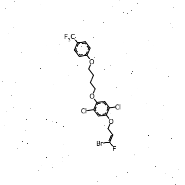 F/C(Br)=C/COc1cc(Cl)c(OCCCCOc2ccc(C(F)(F)F)cc2)cc1Cl